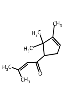 CC(C)=CC(=O)C1CC=C(C)C1(C)C